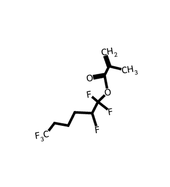 C=C(C)C(=O)OC(F)(F)C(F)CCCC(F)(F)F